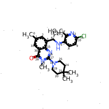 Cc1cc([C@H](C)Nc2ccc(Cl)nc2C(=O)O)c2nc(N3CCC(C)(C)CC3)n(C)c(=O)c2c1